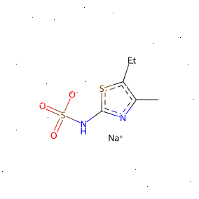 CCc1sc(NS(=O)(=O)[O-])nc1C.[Na+]